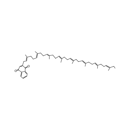 CC/C(C)=C/CC/C(C)=C/CC/C(C)=C/CC/C(C)=C/CC/C(C)=C/CC/C(C)=C/CC/C(C)=C/CC/C(C)=C/CC1=CC(=O)c2ccccc2C1=O